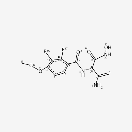 C=C(N)[C@H](NC(=O)c1ccc(OCC)c(F)c1F)C(=O)NO